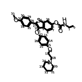 CCNC(=O)Oc1ccc2c(Oc3ccc(OCCN4CCCCC4)cc3)c(-c3ccc(OC)cc3)sc2c1